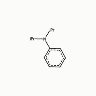 CC(C)N(c1cc[c]cc1)C(C)C